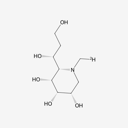 [2H]CN1C[C@H](O)[C@H](O)[C@H](O)[C@@H]1[C@H](O)CCO